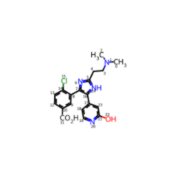 CN(C)CCc1nc(-c2cc(C(=O)O)ccc2Cl)c(-c2ccnc(O)c2)[nH]1